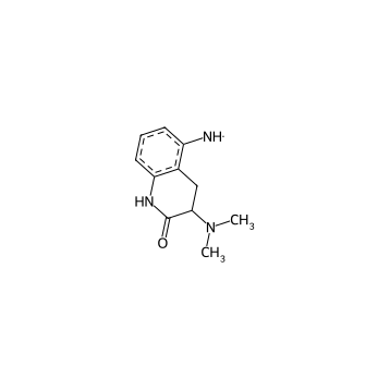 CN(C)C1Cc2c([NH])cccc2NC1=O